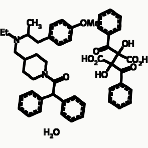 CCN(CC1CCN(C(=O)C(c2ccccc2)c2ccccc2)CC1)C(C)Cc1ccc(OC)cc1.O.O=C(O)C(O)(C(=O)c1ccccc1)C(O)(C(=O)O)C(=O)c1ccccc1